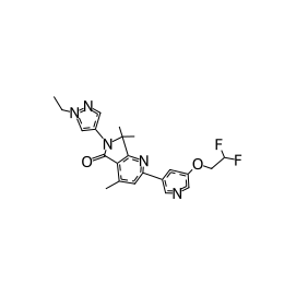 CCn1cc(N2C(=O)c3c(C)cc(-c4cncc(OCC(F)F)c4)nc3C2(C)C)cn1